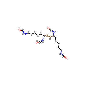 O=C=NCCCCCC(N=C=O)SSC(CCCCCN=C=O)N=C=O